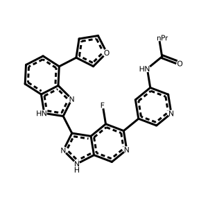 CCCC(=O)Nc1cncc(-c2ncc3[nH]nc(-c4nc5c(-c6ccoc6)cccc5[nH]4)c3c2F)c1